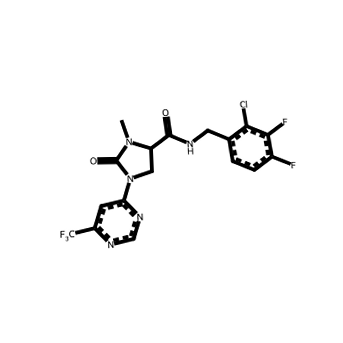 CN1C(=O)N(c2cc(C(F)(F)F)ncn2)CC1C(=O)NCc1ccc(F)c(F)c1Cl